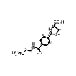 O=C(NCCO[N+](=O)[O-])c1ccc(C2NC(C(=O)O)CS2)cc1